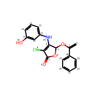 C=C(OC1OC(=O)C(Cl)=C1Nc1cccc(O)c1)c1ccccc1